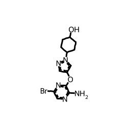 Nc1ncc(Br)nc1Oc1cnn(C2CCC(O)CC2)c1